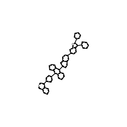 c1ccc(-c2oc3cc(-c4ccc5cc(-c6c7ccccc7c(-c7ccc(-c8cccc9ccccc89)cc7)c7ccccc67)ccc5c4)ccc3c2-c2ccccc2)cc1